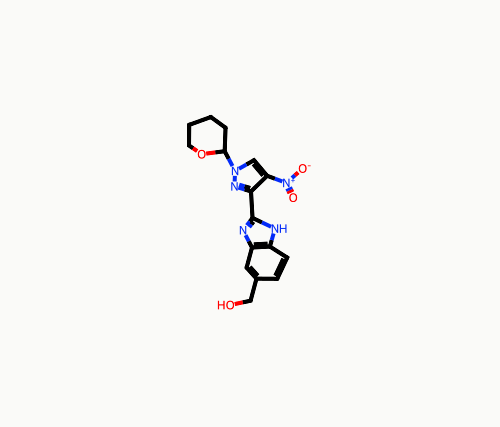 O=[N+]([O-])c1cn(C2CCCCO2)nc1-c1nc2cc(CO)ccc2[nH]1